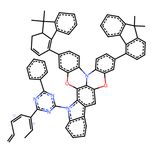 C=C/C=C\C(=C/C)c1nc(-c2ccccc2)nc(-n2c3ccccc3c3cc4c5c(c32)Oc2cc(C3=C6c7ccccc7C(C)(C)C6CC=C3)ccc2N5c2ccc(-c3cccc5c3-c3ccccc3C5(C)C)cc2O4)n1